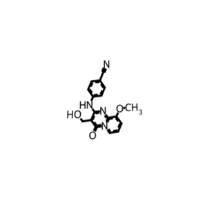 COc1cccn2c(=O)c(CO)c(Nc3ccc(C#N)cc3)nc12